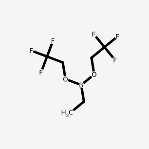 CCB(OCC(F)(F)F)OCC(F)(F)F